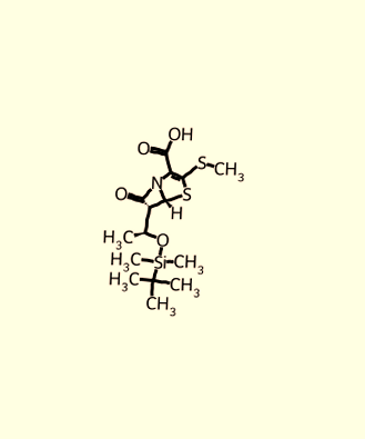 CSC1=C(C(=O)O)N2C(=O)[C@@H]([C@H](C)O[Si](C)(C)C(C)(C)C)[C@H]2S1